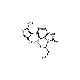 CC(=O)OCC1COc2c(-c3c(C)noc3C)ccc3[nH]c(=O)n1c23